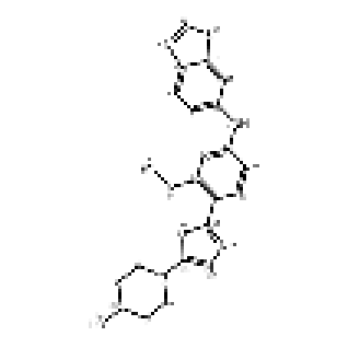 CC(C)Nc1cc(Nc2ccc3ncsc3c2)ncc1-c1nnc(N2CCC(O)CC2)o1